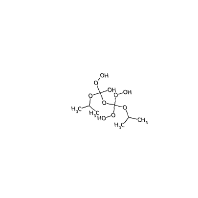 CC(C)OC(O)(OO)OC(OO)(OO)OC(C)C